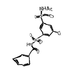 CC(=O)NS(=O)(=O)c1cc(Cl)cc(S(=O)(=O)NC(=O)c2ccccc2)c1